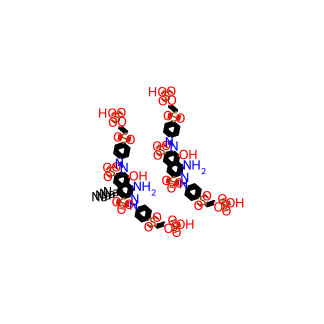 Nc1c(/N=N/c2ccc(S(=O)(=O)CCOS(=O)(=O)O)cc2)c(S(=O)(=O)[O-])cc2cc(S(=O)(=O)[O-])c(/N=N/c3ccc(S(=O)(=O)CCOS(=O)(=O)O)cc3)c(O)c12.Nc1c(/N=N/c2ccc(S(=O)(=O)CCOS(=O)(=O)O)cc2)c(S(=O)(=O)[O-])cc2cc(S(=O)(=O)[O-])c(/N=N/c3ccc(S(=O)(=O)CCOS(=O)(=O)O)cc3)c(O)c12.[Na+].[Na+].[Na+].[Na+]